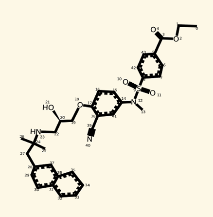 CCOC(=O)c1ccc(S(=O)(=O)N(C)c2ccc(OC[C@H](O)CNC(C)(C)Cc3ccc4ccccc4c3)c(C#N)c2)cc1